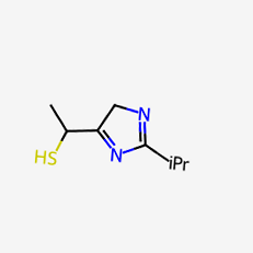 CC(C)C1=NCC(C(C)S)=N1